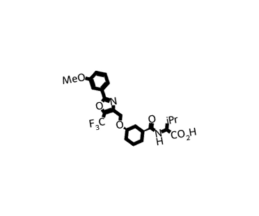 COc1cccc(-c2nc(CO[C@@H]3CCC[C@H](C(=O)NC(C(=O)O)C(C)C)C3)c(C(F)(F)F)o2)c1